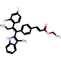 CCOC(=O)/C=C/c1ccc(/C(=C(/CC)c2ccc(F)cc2Cl)c2[nH]c3ccccc3c2C)cc1